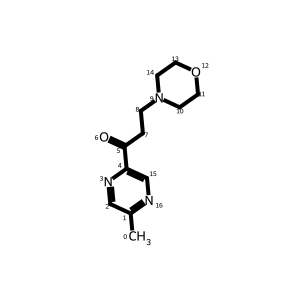 Cc1cnc(C(=O)CCN2CCOCC2)cn1